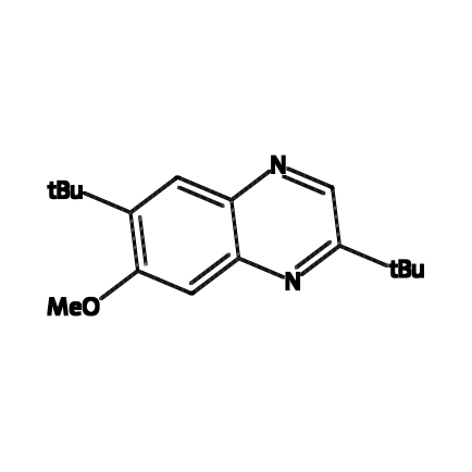 COc1cc2nc(C(C)(C)C)cnc2cc1C(C)(C)C